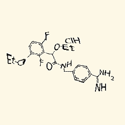 CCOc1ccc(F)c(C(OCC)C(=O)NCc2ccc(C(=N)N)cc2)c1F.Cl